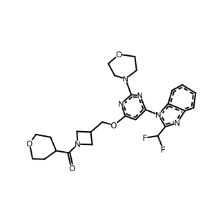 O=C(C1CCOCC1)N1CC(COc2cc(-n3c(C(F)F)nc4ccccc43)nc(N3CCOCC3)n2)C1